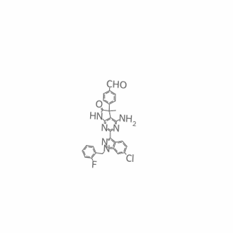 CC1(c2ccc(C=O)cc2)C(=O)Nc2nc(-c3nn(Cc4ccccc4F)c4cc(Cl)ccc34)nc(N)c21